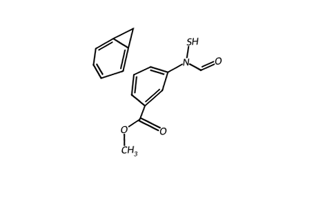 COC(=O)c1cccc(N(S)C=O)c1.c1ccc2c(c1)C2